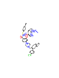 C#Cc1ccc(SNC(=O)c2ccc(N3CCN(CC4=C(c5ccc(Cl)cc5)CC5(CCC5)CC4)CC3)cc2Oc2cnc3[nH]ccc3c2)cc1